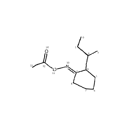 CCC(C)C1CCCCC1=NOC(C)=O